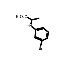 CCOC(=O)C(C)Nc1cccc(Br)c1